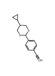 C#Cc1ccc(C2SCC(C3CC3)CS2)cc1